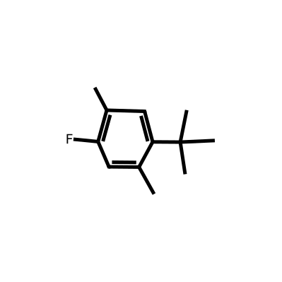 Cc1cc(C(C)(C)C)c(C)cc1F